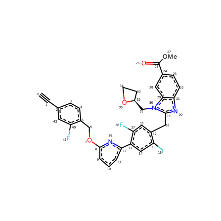 C#Cc1ccc(COc2cccc(-c3cc(F)c(Cc4nc5ccc(C(=O)OC)cc5n4C[C@@H]4CCO4)cc3F)n2)c(F)c1